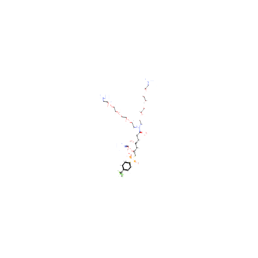 NCCOCCOCCOCCN(CCOCCOCCOCCN)C(=O)CCCCC(CS(=O)(=O)c1ccc(C(F)(F)F)cc1)OC(N)=O